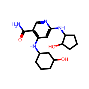 NC(=O)c1cnc(NC2CCCC2O)cc1NC1CCCC(O)C1